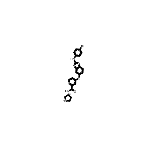 O=C(N[C@@H]1CCNC1)c1cc(Oc2ccc3sc(Nc4ccc(Br)cc4)nc3c2)ccn1